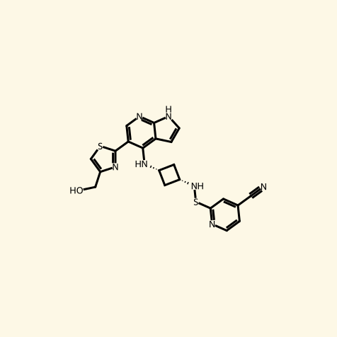 N#Cc1ccnc(SN[C@H]2C[C@@H](Nc3c(-c4nc(CO)cs4)cnc4[nH]ccc34)C2)c1